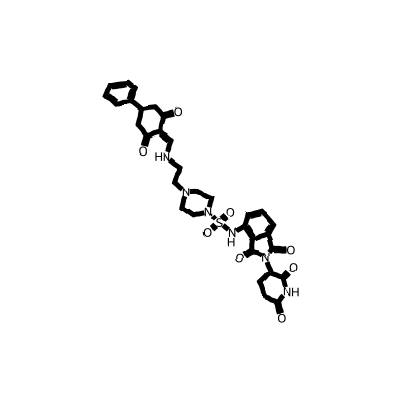 O=C1CCC(N2C(=O)c3cccc(NS(=O)(=O)N4CCN(CCNC=C5C(=O)CC(c6ccccc6)CC5=O)CC4)c3C2=O)C(=O)N1